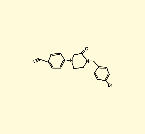 N#Cc1ccc(N2CCN(Cc3ccc(Br)cc3)C(=O)C2)cc1